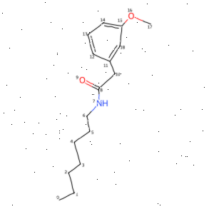 CCCCCCCNC(=O)Cc1cccc(OC)c1